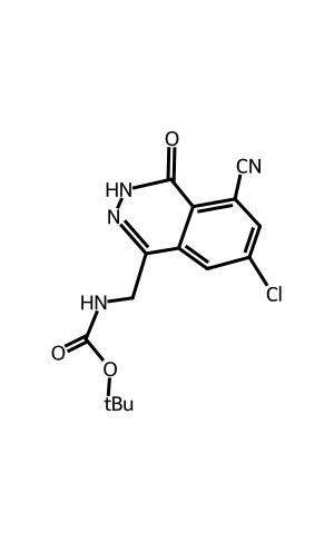 CC(C)(C)OC(=O)NCc1n[nH]c(=O)c2c(C#N)cc(Cl)cc12